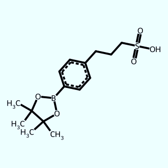 CC1(C)OB(c2ccc(CCCS(=O)(=O)O)cc2)OC1(C)C